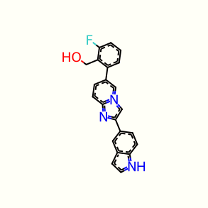 OCc1c(F)cccc1-c1ccc2nc(-c3ccc4[nH]ccc4c3)cn2c1